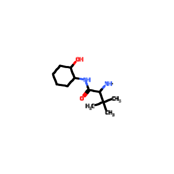 CC(C)(C)C([NH])C(=O)NC1CCCCC1O